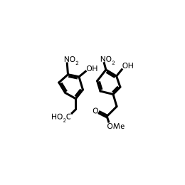 COC(=O)Cc1ccc([N+](=O)[O-])c(O)c1.O=C(O)Cc1ccc([N+](=O)[O-])c(O)c1